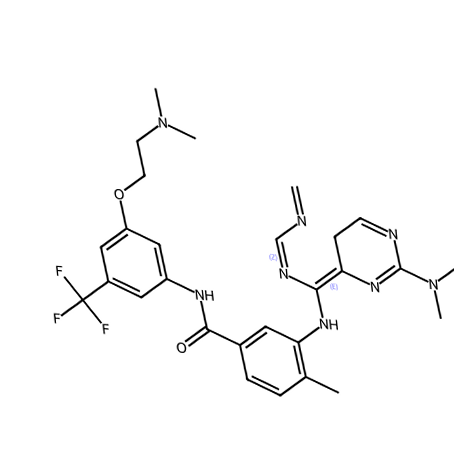 C=N/C=N\C(Nc1cc(C(=O)Nc2cc(OCCN(C)C)cc(C(F)(F)F)c2)ccc1C)=C1/CC=NC(N(C)C)=N1